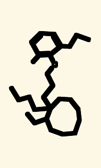 CCCCC1(CCCOc2c(C)cccc2CCC)CCCCCCCC1CC